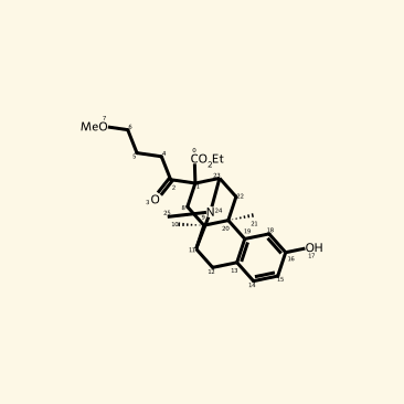 CCOC(=O)C1(C(=O)CCCOC)C[C@]2(C)C3Cc4ccc(O)cc4[C@]2(C)CC1N3C